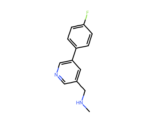 CNCc1cncc(-c2ccc(F)cc2)c1